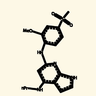 CCCNc1cc(Nc2ccc(S(C)(=O)=O)cc2OC)nc2[nH]ccc12